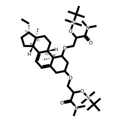 CC[C@H]1CC[C@H]2C3=CC=C4CC(OCC(O[Si](C)(C)C(C)(C)C)C(=O)N(C)C)CC(OCC(O[Si](C)(C)C(C)(C)C)C(=O)N(C)C)[C@]4(C)[C@H]3CC[C@]12C